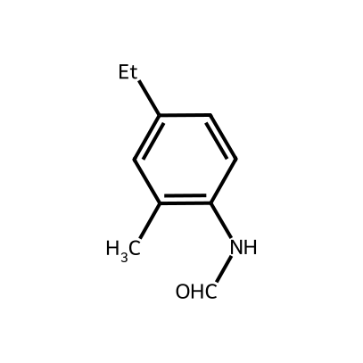 CCc1ccc(NC=O)c(C)c1